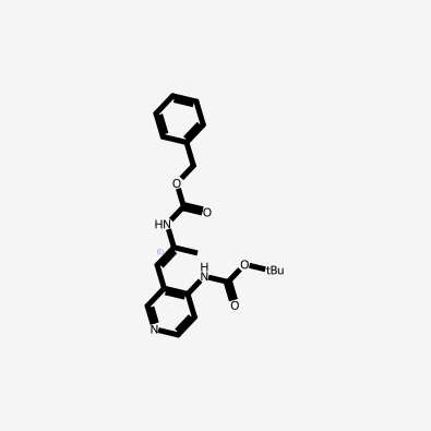 C/C(=C\c1cnccc1NC(=O)OC(C)(C)C)NC(=O)OCc1ccccc1